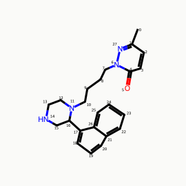 Cc1ccc(=O)n(CCCCN2CCNCC2c2cccc3ccccc23)n1